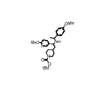 COc1ccc(C(C)NC(CC2CCN(C(=O)OC(C)(C)C)CC2)c2ccc(OC)nc2)cc1